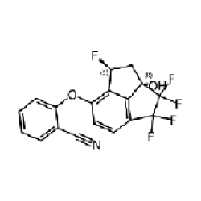 N#Cc1ccccc1Oc1ccc2c3c1[C@@H](F)C[C@]3(O)C(F)(F)C2(F)F